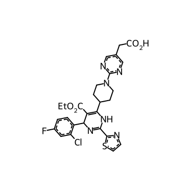 CCOC(=O)C1=C(C2CCN(c3ncc(CC(=O)O)cn3)CC2)NC(c2nccs2)=NC1c1ccc(F)cc1Cl